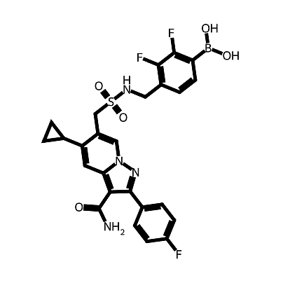 NC(=O)c1c(-c2ccc(F)cc2)nn2cc(CS(=O)(=O)NCc3ccc(B(O)O)c(F)c3F)c(C3CC3)cc12